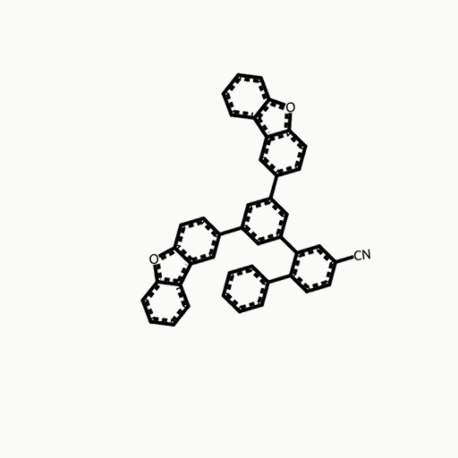 N#Cc1ccc(-c2ccccc2)c(-c2cc(-c3ccc4oc5ccccc5c4c3)cc(-c3ccc4oc5ccccc5c4c3)c2)c1